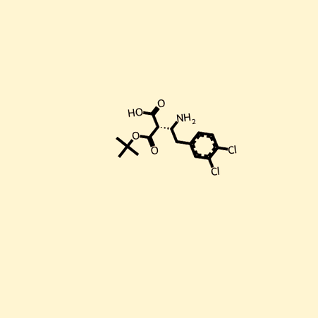 CC(C)(C)OC(=O)[C@H](C(=O)O)C(N)Cc1ccc(Cl)c(Cl)c1